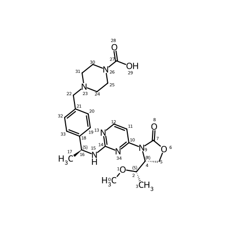 CO[C@@H](C)[C@H]1COC(=O)N1c1ccnc(N[C@@H](C)c2ccc(CN3CCN(C(=O)O)CC3)cc2)n1